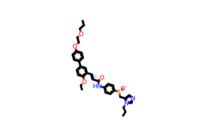 CCCOCCOc1ccc(-c2ccc(OCC)c(/C=C/C(=O)Nc3ccc([S+]([O-])Cc4cncn4CCC)cc3)c2)cc1